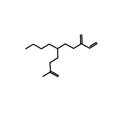 C=CC(=C)CCC(CCCC)CCC(=C)C